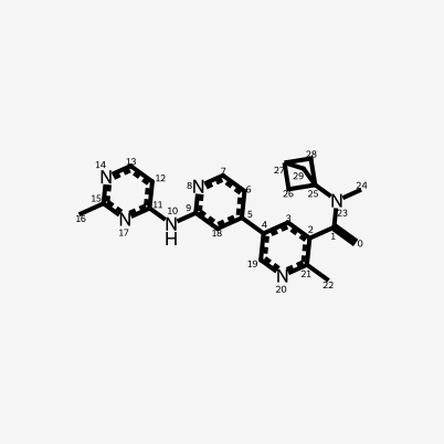 C=C(c1cc(-c2ccnc(Nc3ccnc(C)n3)c2)cnc1C)N(C)C12CC(C1)C2